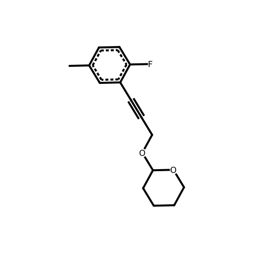 Cc1ccc(F)c(C#CCOC2CCCCO2)c1